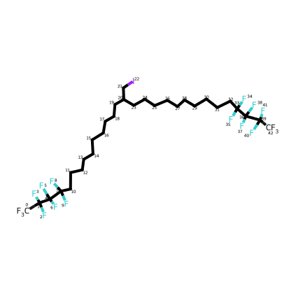 FC(F)(F)C(F)(F)C(F)(F)C(F)(F)CCCCCCCCCCC(CI)CCCCCCCCCCC(F)(F)C(F)(F)C(F)(F)C(F)(F)F